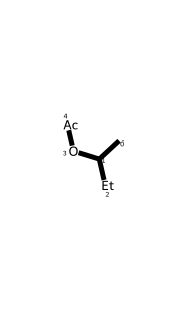 [CH2]C(CC)OC(C)=O